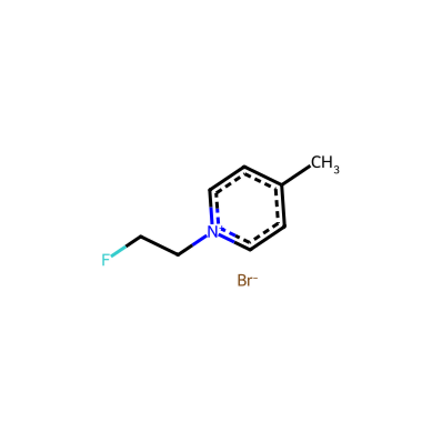 Cc1cc[n+](CCF)cc1.[Br-]